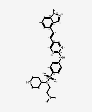 CN(C)CCN(C1CCNCC1)S(=O)(=O)c1ccc(Nc2ncc(/C=C/c3cccc4[nH]ncc34)cn2)cc1